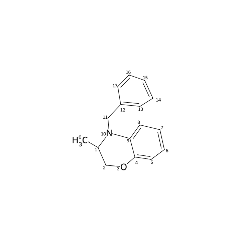 CC1COc2ccccc2N1Cc1ccccc1